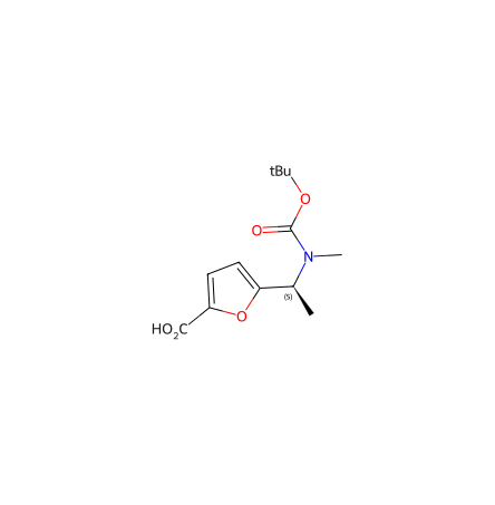 C[C@@H](c1ccc(C(=O)O)o1)N(C)C(=O)OC(C)(C)C